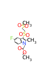 CCOC(=O)Cn1c(C)c(S(=O)(=O)CCS(C)(=O)=O)c2cc(F)ccc21